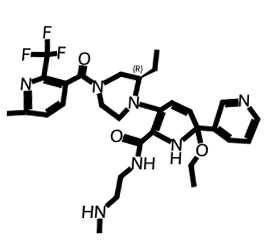 CCOC1(c2cccnc2)C=CC(N2CCN(C(=O)c3ccc(C)nc3C(F)(F)F)C[C@H]2CC)=C(C(=O)NCCNC)N1